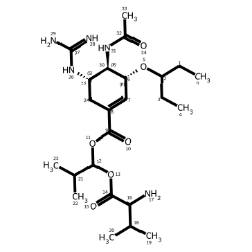 CCC(CC)O[C@@H]1C=C(C(=O)OC(OC(=O)C(N)C(C)C)C(C)C)C[C@H](NC(=N)N)[C@H]1NC(C)=O